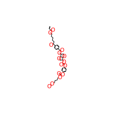 C=CC(=O)OCCCCCC(=O)c1ccc(C(=O)OC2COC3C(OC(=O)Oc4ccc(OC(=O)OCCCCOC=O)cc4)COC23)cc1